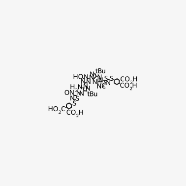 CC(C)(C)c1nn(-c2nc(O)nc(-n3nc(C(C)(C)C)c(N=Nc4sc(Sc5ccc(C(=O)O)c(C(=O)O)c5)nc4N=O)c3N)n2)c(N)c1N=Nc1sc(Sc2ccc(C(=O)O)c(C(=O)O)c2)nc1C#N